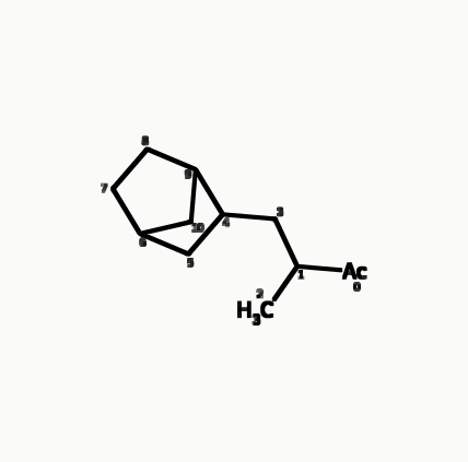 CC(=O)C(C)CC1CC2CCC1C2